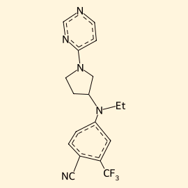 CCN(c1ccc(C#N)c(C(F)(F)F)c1)C1CCN(c2ccncn2)C1